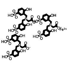 O=C([O-])CN(Cc1cc(S(=O)(=O)O)ccc1O)Cc1cc(S(=O)(=O)O)ccc1O.O=C([O-])CN(Cc1cc(S(=O)(=O)O)ccc1O)Cc1cc(S(=O)(=O)O)ccc1O.O=C([O-])CN(Cc1cc(S(=O)(=O)O)ccc1O)Cc1cc(S(=O)(=O)O)ccc1O.[Fe+3]